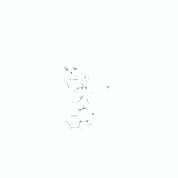 CCCCc1nc2c([N+](=O)[O-])cccc2n1Cc1ccc(-c2ccccc2C(=O)O)cc1